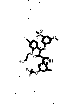 COc1cc(NC(C(=O)c2c[nH]c3c(C)cc(OC(F)(F)F)cc23)c2ccc(Cl)cc2OCCO)cc(S(C)(=O)=O)c1